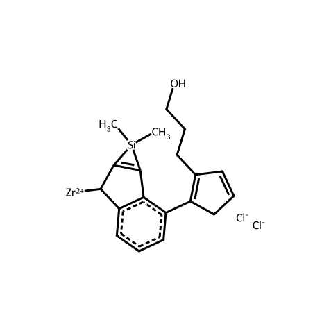 C[Si]1(C)C2=C1[CH]([Zr+2])c1cccc(C3=C(CCCO)C=CC3)c12.[Cl-].[Cl-]